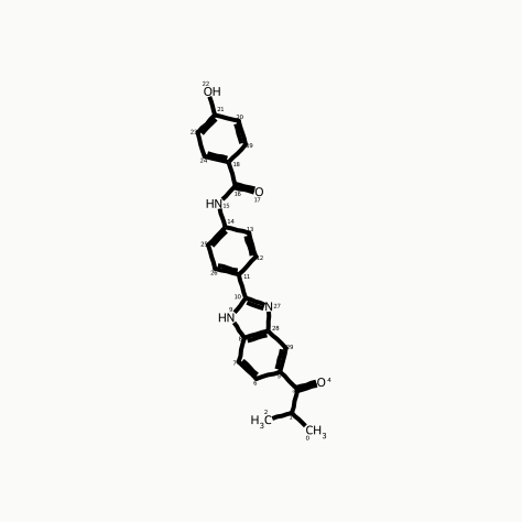 CC(C)C(=O)c1ccc2[nH]c(-c3ccc(NC(=O)c4ccc(O)cc4)cc3)nc2c1